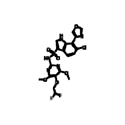 COc1nc(NS(=O)(=O)c2c[nH]c3c(-c4cocn4)c(Cl)ccc23)nc(OC)c1OCC(F)F